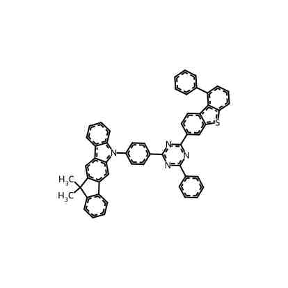 CC1(C)c2ccccc2-c2cc3c(cc21)c1ccccc1n3-c1ccc(-c2nc(-c3ccccc3)nc(-c3ccc4c(c3)sc3cccc(-c5ccccc5)c34)n2)cc1